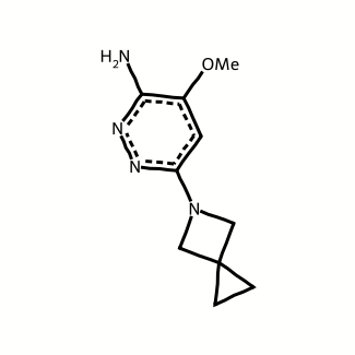 COc1cc(N2CC3(CC3)C2)nnc1N